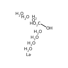 O.O.O.O.O.O.O.O=C(O)O.[La]